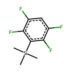 C[Si](C)(C)c1c(F)c(F)[c]c(F)c1F